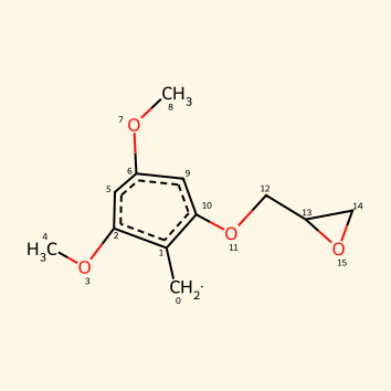 [CH2]c1c(OC)cc(OC)cc1OCC1CO1